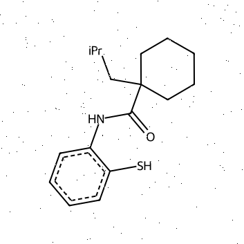 CC(C)CC1(C(=O)Nc2ccccc2S)CCCCC1